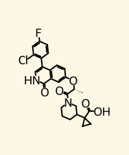 C[C@@H](Oc1ccc2c(-c3ccc(F)cc3Cl)c[nH]c(=O)c2c1)C(=O)N1CCCC(C2(C(=O)O)CC2)C1